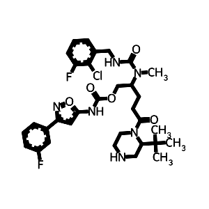 CN(C(=O)NCc1cccc(F)c1Cl)C(CCC(=O)N1CCNCC1C(C)(C)C)COC(=O)Nc1cc(-c2cccc(F)c2)no1